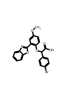 COc1ccc(OC(C(=O)O)c2ccc(Br)cc2)c(-c2nc3ccccc3o2)c1